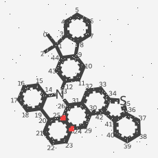 CC1(C)c2ccccc2-c2ccc(N(c3ccccc3-c3ccccc3)c3cccc4c3ccc3sc5ccccc5c34)cc21